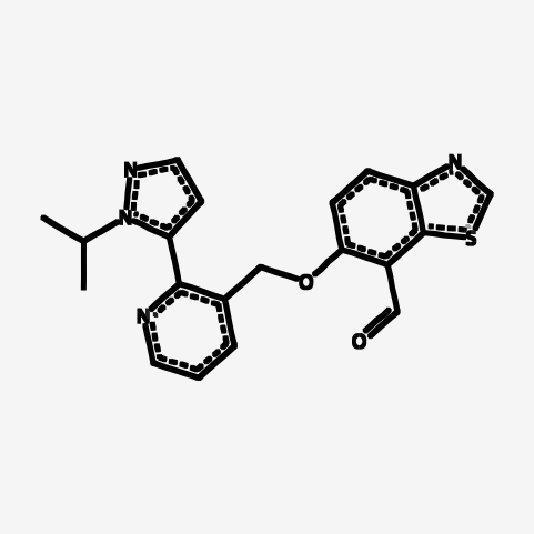 CC(C)n1nccc1-c1ncccc1COc1ccc2ncsc2c1C=O